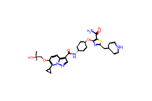 CC(C)(O)COc1ccc2c(C(=O)N[C@H]3CC[C@H](Oc4nc(CC5CCNCC5)sc4C(N)=O)CC3)cnn2c1C1CC1